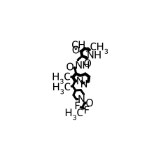 COc1cc(C)[nH]c(=O)c1CNC(=O)c1c(C)c(C(C)C2CCN(C(=O)C(C)(F)F)CC2)n2ncccc12